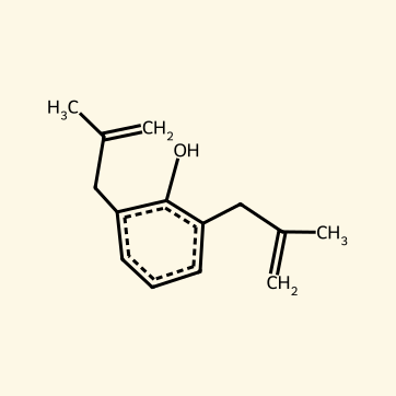 C=C(C)Cc1cccc(CC(=C)C)c1O